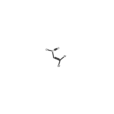 O=[N+]([O-])C=C(Br)Br